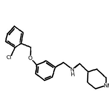 Clc1ccccc1COc1cccc(CNCC2CCNCC2)c1